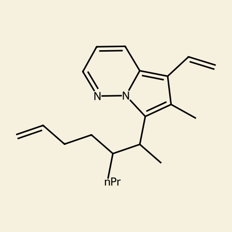 C=CCCC(CCC)C(C)c1c(C)c(C=C)c2cccnn12